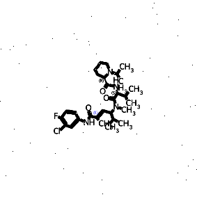 C/C(=C\C(C(C)C)N(C)C(=O)[C@@H](NC(=O)[C@H]1CCCCN1C(C)C)C(C)C)C(=O)Nc1ccc(F)c(Cl)c1